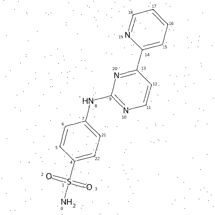 NS(=O)(=O)c1ccc(Nc2nccc(-c3ccccn3)n2)cc1